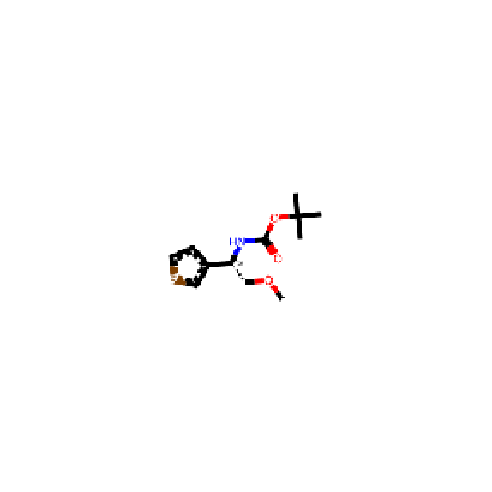 COC[C@@H](NC(=O)OC(C)(C)C)c1ccsc1